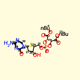 CCCCOC(=O)COP(=O)(OCC(=O)OCCCC)OCC1S[C@@H](n2cnc(N)nc2=O)C[C@H]1O